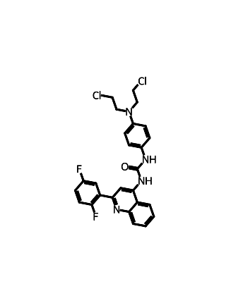 O=C(Nc1ccc(N(CCCl)CCCl)cc1)Nc1cc(-c2cc(F)ccc2F)nc2ccccc12